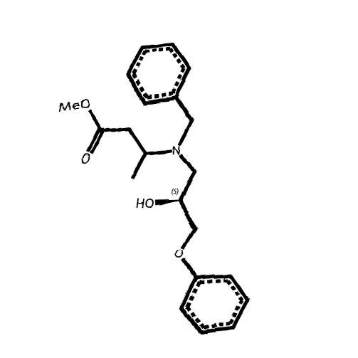 COC(=O)CC(C)N(Cc1ccccc1)C[C@H](O)COc1ccccc1